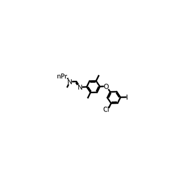 CCCN(C)C=Nc1cc(C)c(Oc2cc(Cl)cc(I)c2)cc1C